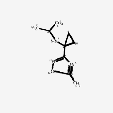 Cc1nc(C2(NC(C)C)CC2)no1